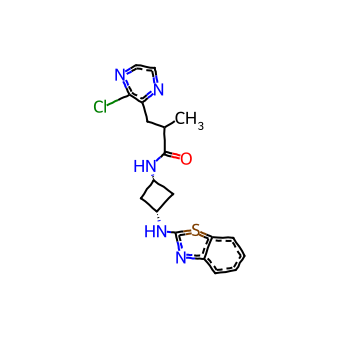 CC(Cc1nccnc1Cl)C(=O)N[C@H]1C[C@@H](Nc2nc3ccccc3s2)C1